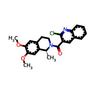 COc1cc2c(cc1OC)[C@@H](C)N(C(=O)c1cc3ccccc3nc1Cl)CC2